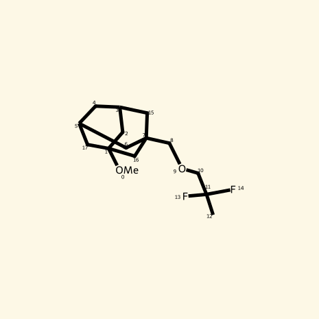 COC12CC3CC(CC(COCC(C)(F)F)(C3)C1)C2